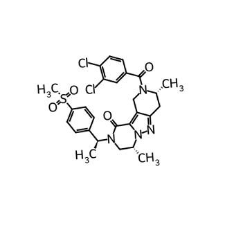 C[C@@H]1Cc2nn3c(c2CN1C(=O)c1ccc(Cl)c(Cl)c1)C(=O)N([C@@H](C)c1ccc(S(C)(=O)=O)cc1)C[C@H]3C